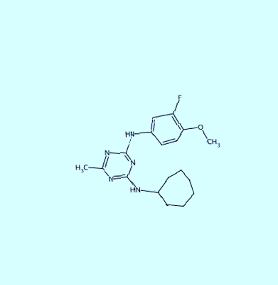 COc1ccc(Nc2nc(C)nc(NC3CCCCCC3)n2)cc1F